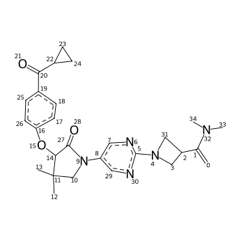 C=C(C1CN(c2ncc(N3CC(C)(C)C(Oc4ccc(C(=O)C5CC5)cc4)C3=O)cn2)C1)N(C)C